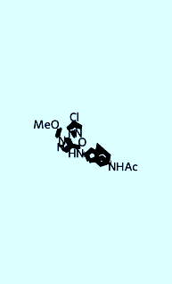 COCCn1ncc(C(=O)N[C@H]2CC34CC3C[C@@]3(NC(C)=O)CC2C4C3)c1-n1cc(Cl)cn1